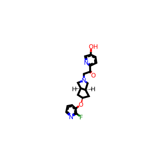 O=C(CN1C[C@H]2C[C@@H](Oc3cccnc3F)C[C@H]2C1)c1ccc(O)cn1